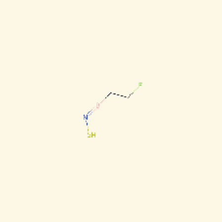 FCCB=NS